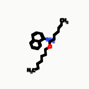 CCCCCCCOCCCCCCC.Nc1cccc2ccccc12